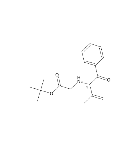 C=C(C)[C@H](NCC(=O)OC(C)(C)C)C(=O)c1ccccc1